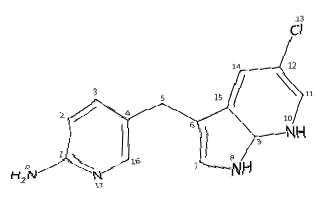 Nc1ccc(CC2=CNC3NC=C(Cl)C=C23)cn1